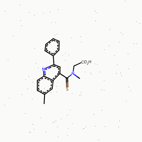 Cc1ccc2nc(-c3ccccc3)cc(C(=S)N(C)CC(=O)O)c2c1